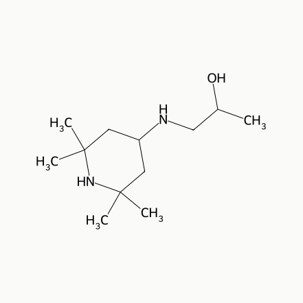 CC(O)CNC1CC(C)(C)NC(C)(C)C1